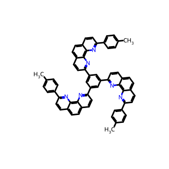 Cc1ccc(-c2ccc3ccc4ccc(-c5cc(-c6ccc7ccc8ccc(-c9ccc(C)cc9)nc8c7n6)cc(-c6ccc7ccc8ccc(-c9ccc(C)cc9)nc8c7n6)c5)nc4c3n2)cc1